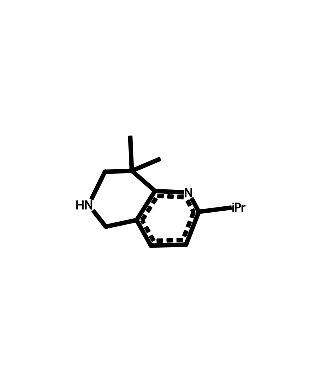 CC(C)c1ccc2c(n1)C(C)(C)CNC2